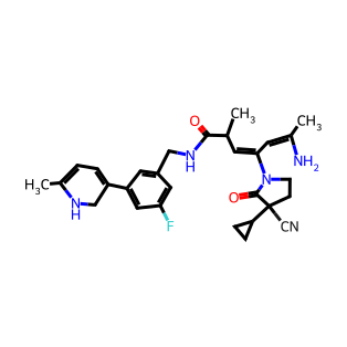 CC1=CC=C(c2cc(F)cc(CNC(=O)C(C)/C=C(\C=C(\C)N)N3CCC(C#N)(C4CC4)C3=O)c2)CN1